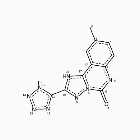 Cc1ccc2nc(=O)n3nc(-c4nnn[nH]4)[nH]c3c2c1